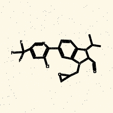 CC(C)N1c2ccc(-c3ncc(C(F)(F)F)cc3Cl)cc2N(CC2CO2)C1C=O